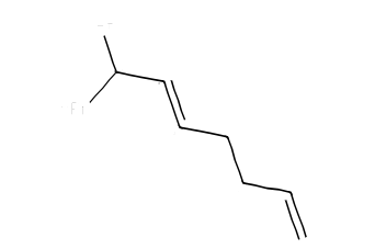 C=CCCC=CC(CC)CCC